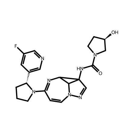 O=C(NC12C=NN3C=CC(N4CCC[C@@H]4c4cncc(F)c4)=NC1C32)N1CC[C@@H](O)C1